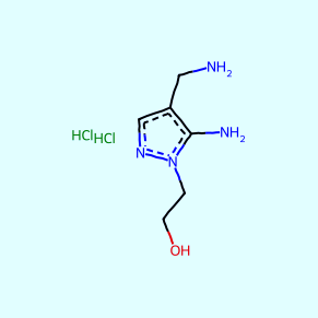 Cl.Cl.NCc1cnn(CCO)c1N